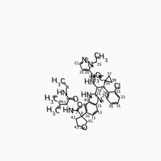 CCNC(=O)[C@H](NC(=O)C1(c2ccc3nc([C@@H](NC(=O)c4ccnn4CC)[C@H](c4ccccc4Cl)C4(C)CC4)[nH]c3c2)CCOC1)C(C)C